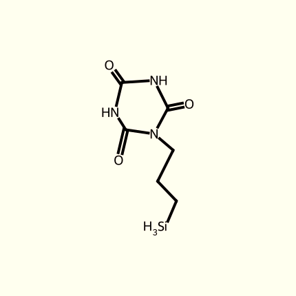 O=c1[nH]c(=O)n(CCC[SiH3])c(=O)[nH]1